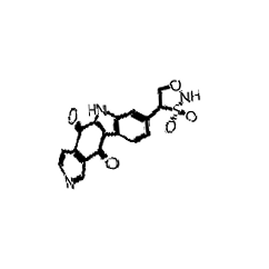 O=C1c2ccncc2C(=O)c2c1[nH]c1cc(C3CONS3(=O)=O)ccc21